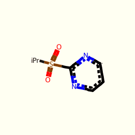 CC(C)S(=O)(=O)c1n[c]ccn1